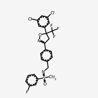 CS(=O)(=NCc1ccc(C2=NOC(c3cc(Cl)cc(Cl)c3)(C(F)(F)F)C2)cc1)c1cccc(F)c1